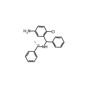 C[C@H](NC(c1ccccc1)c1cc(N)ccc1Cl)c1ccccc1